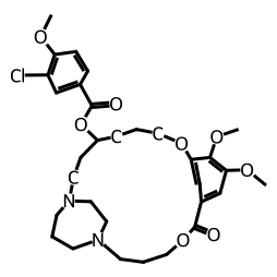 COc1ccc(C(=O)OC2CCCOc3cc(cc(OC)c3OC)C(=O)OCCCN3CCCN(CC2)CC3)cc1Cl